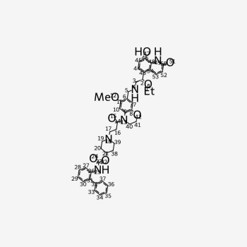 CCO[C@@H](CNCc1cc2c(cc1OC)N(C(=O)CCN1CCC(OC(=O)Nc3ccccc3-c3ccccc3)CC1)CCO2)c1ccc(O)c2[nH]c(=O)ccc12